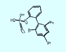 CC(C)c1cc(C(C)C)c(-c2ccccc2OP(=O)(O)O)c(C(C)C)c1